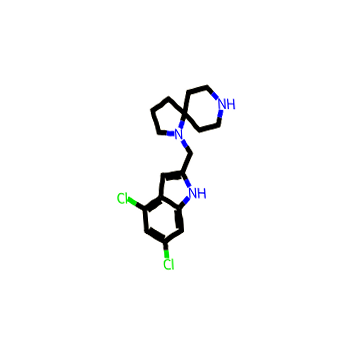 Clc1cc(Cl)c2cc(CN3CCCC34CCNCC4)[nH]c2c1